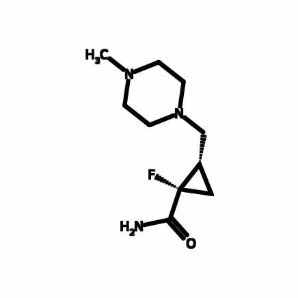 CN1CCN(C[C@@H]2C[C@@]2(F)C(N)=O)CC1